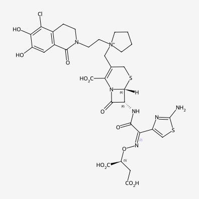 Nc1nc(/C(=N/O[C@@H](CC(=O)O)C(=O)O)C(=O)N[C@@H]2C(=O)N3C(C(=O)O)=C(C[N+]4(CCN5CCc6c(cc(O)c(O)c6Cl)C5=O)CCCC4)CS[C@H]23)cs1